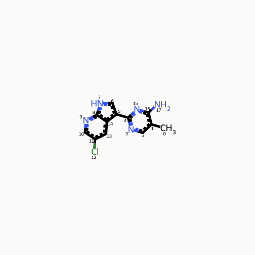 Cc1cnc(-c2c[nH]c3ncc(Cl)cc23)nc1N